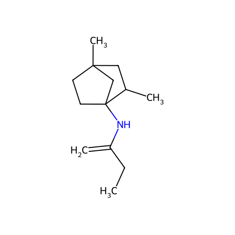 C=C(CC)NC12CCC(C)(CC1C)C2